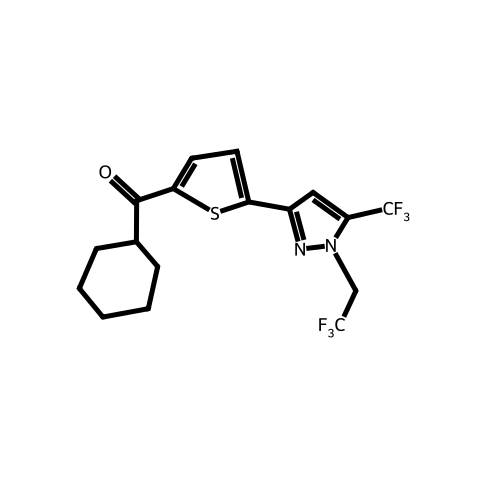 O=C(c1ccc(-c2cc(C(F)(F)F)n(CC(F)(F)F)n2)s1)C1CCCCC1